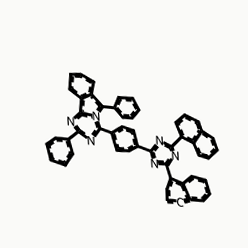 c1ccc(-c2nc(-c3ccc(-c4nc(-c5cccc6ccccc56)nc(-c5cccc6ccccc56)n4)cc3)n3c(-c4ccccc4)c4ccccc4c3n2)cc1